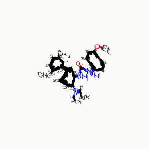 CCOc1ccc(NC(=O)Nc2cc(-c3cc(C)ccc3C=O)ccc2N(CC(C)C)CC(C)C)cc1